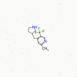 Cc1cc(CC2CCNC2)c(C(F)(F)F)cn1